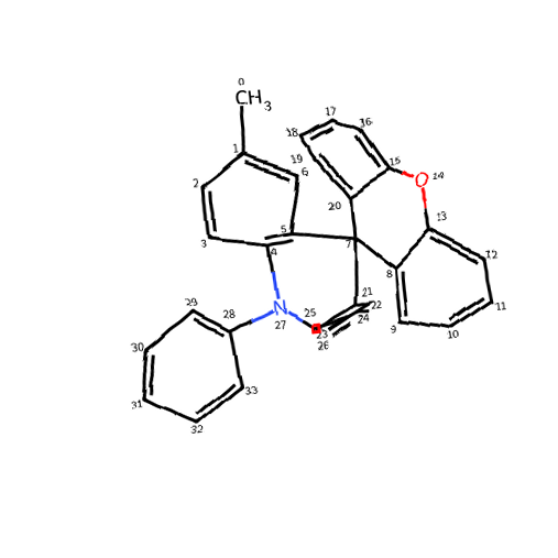 Cc1ccc2c(c1)C1(c3ccccc3Oc3ccccc31)c1ccccc1N2c1ccccc1